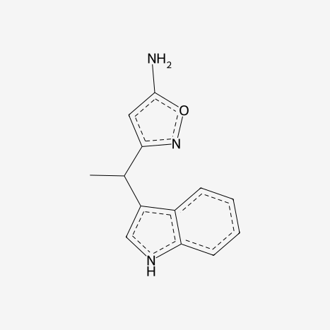 CC(c1cc(N)on1)c1c[nH]c2ccccc12